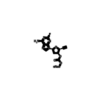 C#C[C@H]1O[C@@H](n2cnc3c(N)nc(F)nc32)C[C@@H]1OC(=O)OCCCCCCCCC